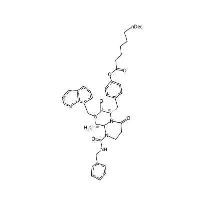 CCCCCCCCCCCCCCCC(=O)Oc1ccc(C[C@H]2C(=O)N(Cc3cccc4cccnc34)[C@@H](C)C3N(C(=O)NCc4ccccc4)CCC(=O)N32)cc1